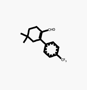 CC1(C)CCC(C=O)=C(c2ccc(C(F)(F)F)cc2)C1